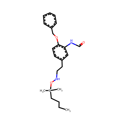 CCCC[Si](C)(C)ONCCc1ccc(OCc2ccccc2)c(NC=O)c1